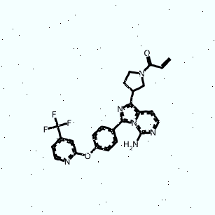 C=CC(=O)N1CCC(c2nc(-c3ccc(Oc4cc(C(F)(F)F)ccn4)cc3)n3c(N)nccc23)C1